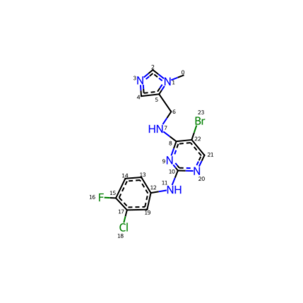 Cn1cncc1CNc1nc(Nc2ccc(F)c(Cl)c2)ncc1Br